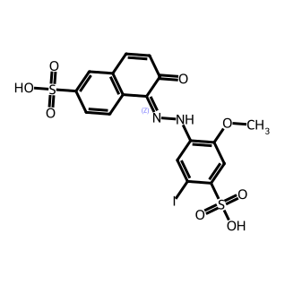 COc1cc(S(=O)(=O)O)c(I)cc1N/N=C1\C(=O)C=Cc2cc(S(=O)(=O)O)ccc21